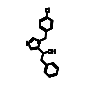 OC(Cc1ccccc1)c1cncn1Cc1ccc(Cl)cc1